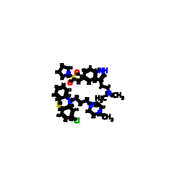 CN(C)CCc1c[nH]c2ccc(CS(=O)(=O)N3CCCC3)cc12.CN1CCN(CCCN2c3ccccc3Sc3ccc(Cl)cc32)CC1